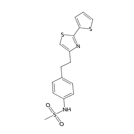 CS(=O)(=O)Nc1ccc(CCc2csc(-c3cccs3)n2)cc1